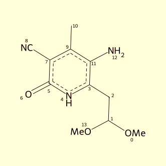 COC(Cc1[nH]c(=O)c(C#N)c(C)c1N)OC